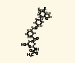 CS(=O)(=O)NCCN(CC(=O)O)C(=O)c1cccc(COc2ccc(-c3cc(F)c(F)c4ccoc34)cc2)c1